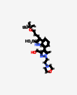 Cc1c(-c2cccc3c(CCCO[Si](C)(C)C(C)(C)C)c(C(=O)O)[nH]c23)c(CO)nn1CCN1CCOCC1